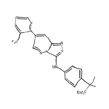 CCOC(=O)C(C)(C)c1ccc(Nc2nnc3cc(-c4ncccc4C(F)(F)F)cnn23)cc1